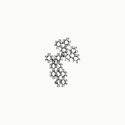 C1=CC2C(C=C1c1ccccc1-c1ccccc1)c1cc(-c3ccccc3-c3ccccc3)ccc1N2c1ccc(N(c2ccccc2)c2cccc3c(-c4c5ccccc5c(-c5cccc6ccccc56)c5ccccc45)cccc23)cc1